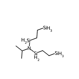 CC(C)N([SiH2]CC[SiH3])[SiH2]CC[SiH3]